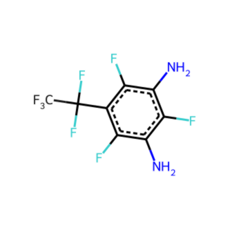 Nc1c(F)c(N)c(F)c(C(F)(F)C(F)(F)F)c1F